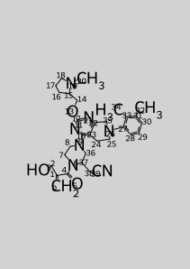 C=C(CO)C(=O)N1CCN(c2nc(OCC3CCCN3C)nc3c2CCN(c2cccc(C)c2C)C3)CC1CC#N